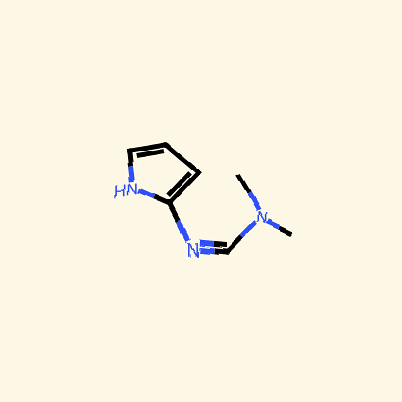 CN(C)/C=N\c1ccc[nH]1